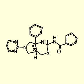 O=C(NC1N[C@@]2(c3ccccc3)CN(c3ncccn3)C[C@H]2CS1)c1ccccc1